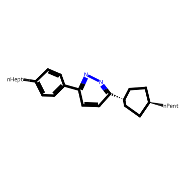 CCCCCCCc1ccc(-c2ccc([C@H]3CC[C@H](CCCCC)CC3)nn2)cc1